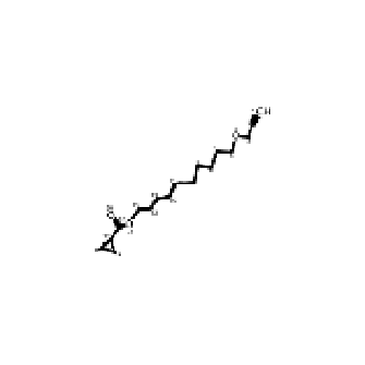 C#CCOCCCCCCCCCCOC(=O)C1CC1